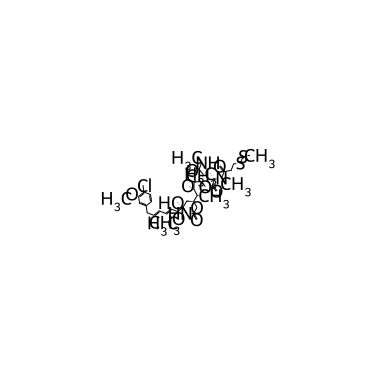 CNC(=O)C[C@H](OC(=O)[C@H](C)N(C)C(=O)CCSSC)[C@]1(C)O[C@H]1[C@H](C)[C@@H]1C[C@](O)([C@@H](/C=C/C=C(\C)Cc2ccc(Cl)c(OC)c2)OC)NC(=O)O1